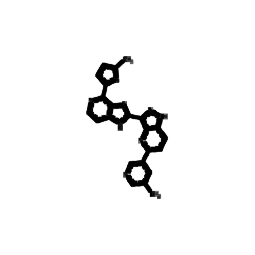 Cc1ccc(-c2nccc3[nH]c(-c4n[nH]c5ccc(-c6cncc(N)c6)nc45)nc23)s1